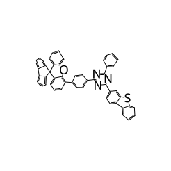 c1ccc(-c2nc(-c3ccc(-c4cccc5c4Oc4ccccc4C54c5ccccc5-c5ccccc54)cc3)nc(-c3ccc4c(c3)sc3ccccc34)n2)cc1